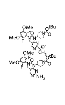 COc1cc(OC)c(F)c(N2Cc3cnc(N)nc3N(C3CCN(C(=O)OC(C)(C)C)CC3)C2=O)c1F.COc1cc(OC)c(F)c(N2Cc3cnc([S+](C)[O-])nc3N(C3CCN(C(=O)OC(C)(C)C)CC3)C2=O)c1F